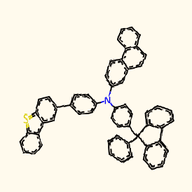 c1ccc(C2(c3ccc(N(c4ccc(-c5ccc6sc7ccccc7c6c5)cc4)c4ccc5c(ccc6ccccc65)c4)cc3)c3ccccc3-c3ccccc32)cc1